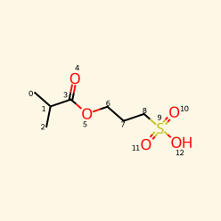 CC(C)C(=O)OCCCS(=O)(=O)O